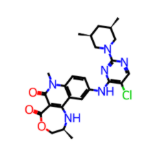 C[C@@H]1C[C@H](C)CN(c2ncc(Cl)c(Nc3ccc4c(c3)c3c(c(=O)n4C)C(=O)OC[C@H](C)N3)n2)C1